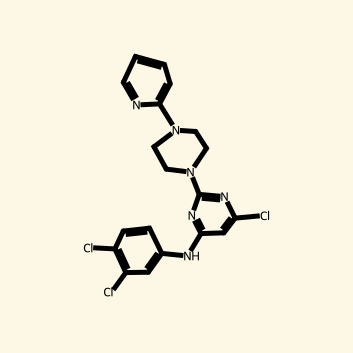 Clc1cc(Nc2ccc(Cl)c(Cl)c2)nc(N2CCN(c3ccccn3)CC2)n1